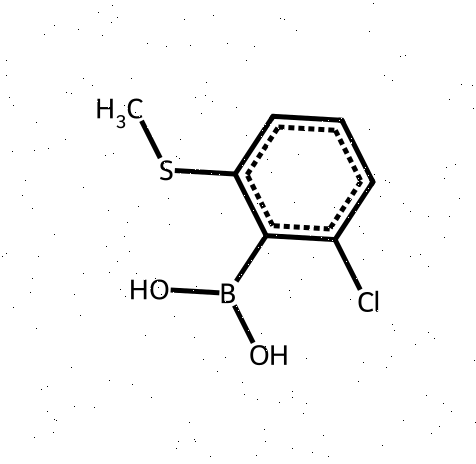 CSc1cccc(Cl)c1B(O)O